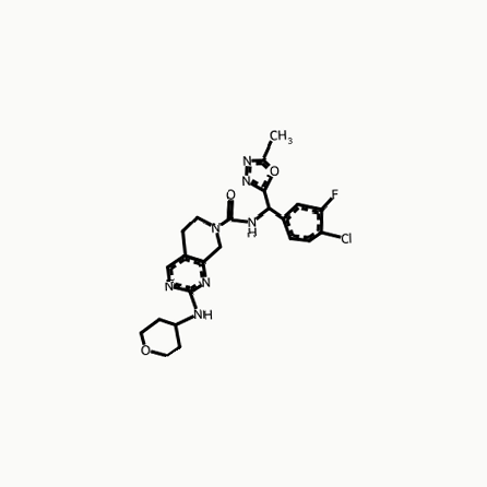 Cc1nnc(C(NC(=O)N2CCc3cnc(NC4CCOCC4)nc3C2)c2ccc(Cl)c(F)c2)o1